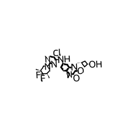 C[C@@H]1CN(c2ncc(Cl)c(Nc3ccc4c(c3)n(C[C@H]3C[C@@H](O)C3)c(=O)c(=O)n4C)n2)C[C@H](C)C1(F)F